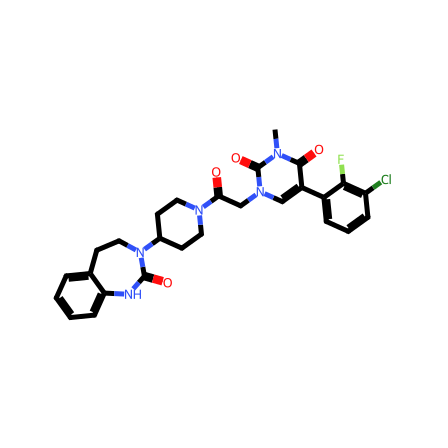 Cn1c(=O)c(-c2cccc(Cl)c2F)cn(CC(=O)N2CCC(N3CCc4ccccc4NC3=O)CC2)c1=O